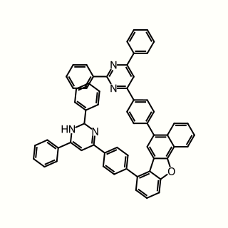 C1=C(c2ccccc2)NC(c2ccccc2)N=C1c1ccc(-c2cccc3oc4c5ccccc5c(-c5ccc(-c6cc(-c7ccccc7)nc(-c7ccccc7)n6)cc5)cc4c23)cc1